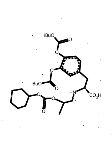 CC(C)COC(=O)Oc1ccc(C[C@H](NCC(C)OC(=O)OC2CCCCC2)C(=O)O)cc1OC(=O)OCC(C)C